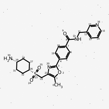 Cc1oc(-c2ccc(C(=O)NCc3cccnc3)cc2)nc1CS(=O)(=O)[C@H]1CC[C@@H](N)CC1